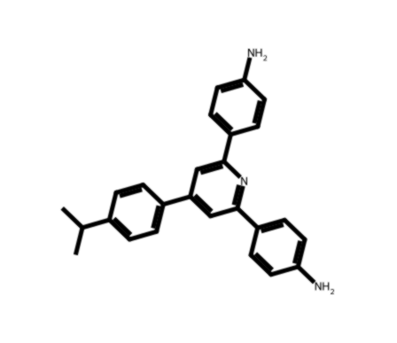 CC(C)c1ccc(-c2cc(-c3ccc(N)cc3)nc(-c3ccc(N)cc3)c2)cc1